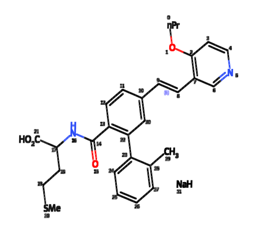 CCCOc1ccncc1/C=C/c1ccc(C(=O)NC(CCSC)C(=O)O)c(-c2ccccc2C)c1.[NaH]